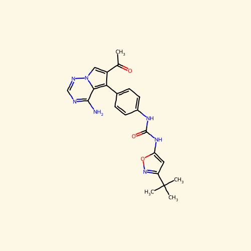 CC(=O)c1cn2ncnc(N)c2c1-c1ccc(NC(=O)Nc2cc(C(C)(C)C)no2)cc1